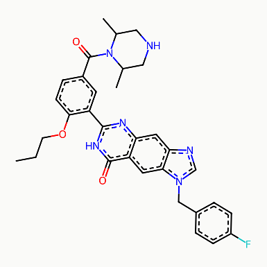 CCCOc1ccc(C(=O)N2C(C)CNCC2C)cc1-c1nc2cc3ncn(Cc4ccc(F)cc4)c3cc2c(=O)[nH]1